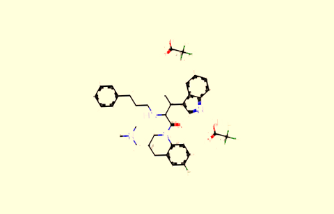 CC(c1c[nH]c2ccccc12)C(NCCCc1ccccc1)C(=O)N1C[C@@H](CN(C)C)Cc2cc(Cl)ccc21.O=C(O)C(F)(F)F.O=C(O)C(F)(F)F